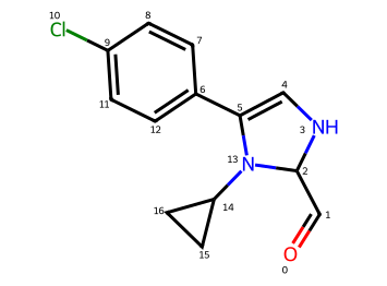 O=CC1NC=C(c2ccc(Cl)cc2)N1C1CC1